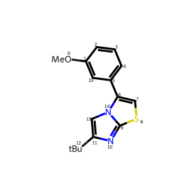 COc1cccc(-c2csc3nc(C(C)(C)C)cn23)c1